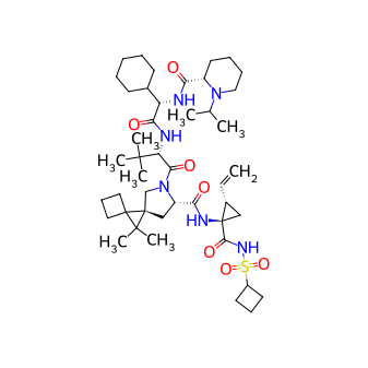 C=C[C@@H]1C[C@]1(NC(=O)[C@@H]1C[C@@]2(CN1C(=O)[C@@H](NC(=O)[C@@H](NC(=O)[C@@H]1CCCCN1C(C)C)C1CCCCC1)C(C)(C)C)C(C)(C)C21CCC1)C(=O)NS(=O)(=O)C1CCC1